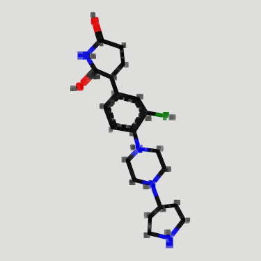 O=C1CCC(c2ccc(N3CCN(C4CCNCC4)CC3)c(F)c2)C(=O)N1